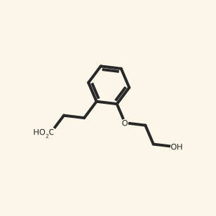 O=C(O)CCc1ccccc1OCCO